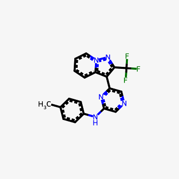 Cc1ccc(Nc2cncc(-c3c(C(F)(F)F)nn4ccccc34)n2)cc1